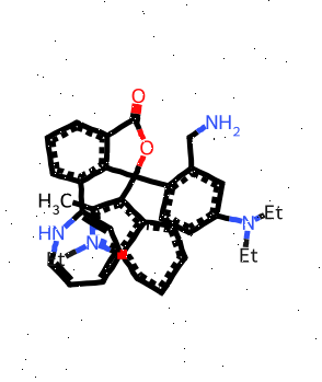 CCN(CC)c1ccc(C2(c3c(C)n(CC)c4ccccc34)OC(=O)c3cccc(C4=CC=CC=CN4)c32)c(CN)c1